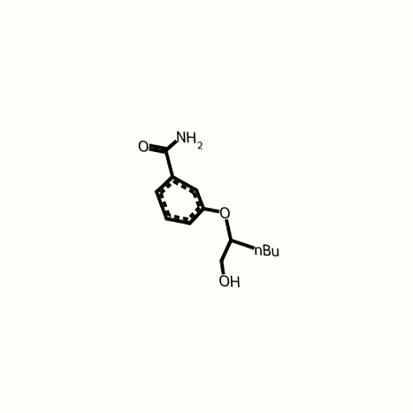 CCCCC(CO)Oc1cccc(C(N)=O)c1